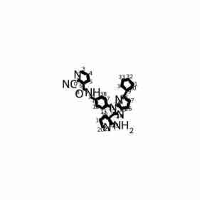 N#Cc1ncccc1C(=O)NCc1ccc(-n2c(-c3cccnc3N)nc3ccc(-c4ccccc4)nc32)cc1